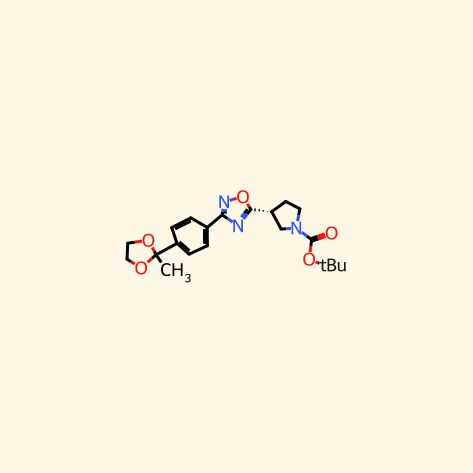 CC(C)(C)OC(=O)N1CC[C@@H](c2nc(-c3ccc(C4(C)OCCO4)cc3)no2)C1